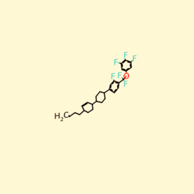 C=CCCC1C=CC(C2CCC(c3ccc(C(F)(F)Oc4cc(F)c(F)c(F)c4)c(F)c3)CC2)CC1